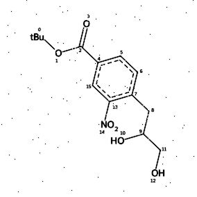 CC(C)(C)OC(=O)c1ccc(CC(O)CO)c([N+](=O)[O-])c1